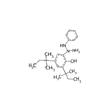 CCC(C)(C)c1cc(N(N)Nc2ccccc2)c(O)c(C(C)(C)CC)c1